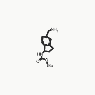 CC(C)(C)OC(=O)NC1CCc2cc(CN)ccc21